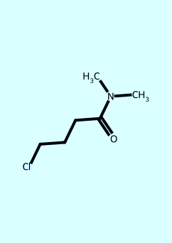 CN(C)C(=O)CCCCl